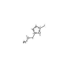 Cc1ccc(COC(C)C)o1